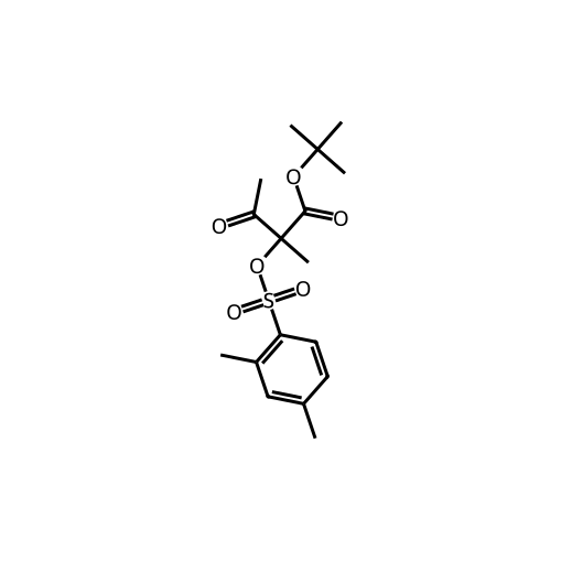 CC(=O)C(C)(OS(=O)(=O)c1ccc(C)cc1C)C(=O)OC(C)(C)C